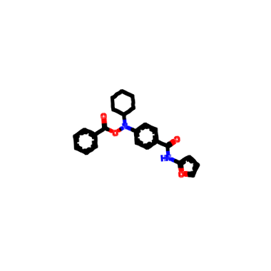 O=C(Nc1ccco1)c1ccc(N(OC(=O)c2ccccc2)C2CCCCC2)cc1